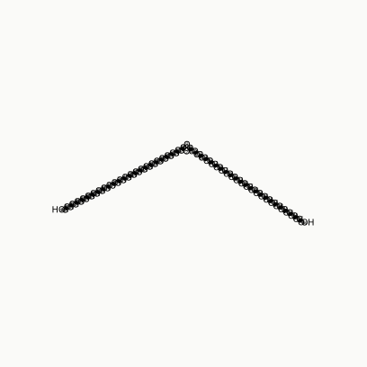 O=S(=O)(OOOOOOOOOOOOOOOOOOOOOOOOOOOOOOOOOOOOOOOOOOOOOOO)OOOOOOOOOOOOOOOOOOOOOOOOOOOOOOOOOOOOOOOOOOOOOOO